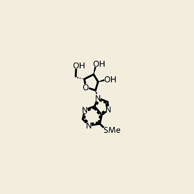 CSc1ncnc2c1ncn2[C@@H]1O[C@H](CO)[C@@H](O)[C@H]1O